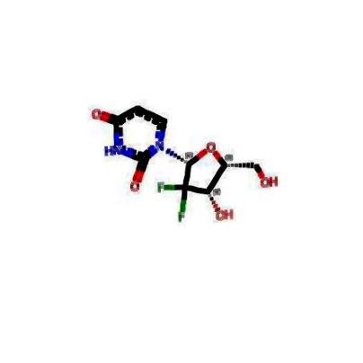 O=c1ccn([C@@H]2O[C@H](CO)[C@H](O)C2(F)F)c(=O)[nH]1